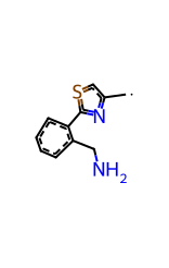 [CH2]c1csc(-c2ccccc2CN)n1